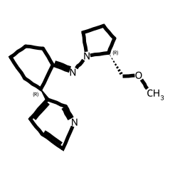 COC[C@H]1CCCN1N=C1CCCC[C@@H]1c1cccnc1